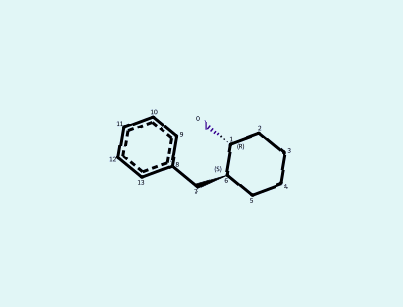 I[C@@H]1CCCC[C@H]1Cc1ccccc1